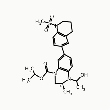 CC(C)OC(=O)N1C[C@H](C)N(C(C)O)c2ccc(-c3ccc4c(c3)CCCN4S(C)(=O)=O)cc21